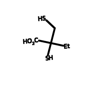 CCC(S)(CS)C(=O)O